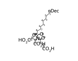 CCCCCCCCCCCCCCCCCCS(=O)(=O)N(C(=O)CCC(=O)O)C(CC(=O)O)C(=O)O